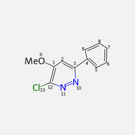 COc1cc(-c2ccccc2)nnc1Cl